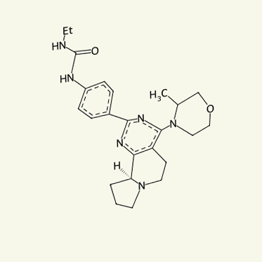 CCNC(=O)Nc1ccc(-c2nc3c(c(N4CCOCC4C)n2)CCN2CCC[C@@H]32)cc1